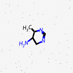 CC1N=C=NCC1N